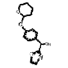 OC(c1ccc(OC2CCCCO2)cc1)c1ncco1